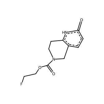 O=C(OCCF)N1CCc2[nH]c(=O)ccc2C1